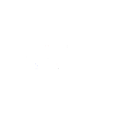 CCCC(OC(=O)NC)C(C)(C)C